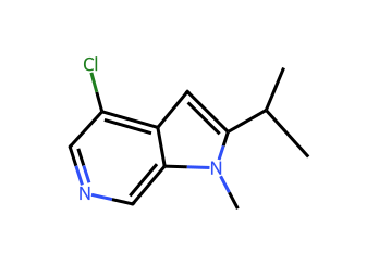 CC(C)c1cc2c(Cl)cncc2n1C